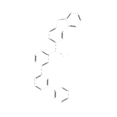 NC(c1cccc(-c2cccc(-c3ccccc3)c2)c1)c1ccc2c(c1)-c1ccccc1C2